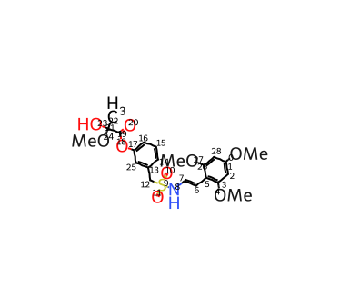 COc1cc(OC)c(C=CNS(=O)(=O)Cc2cccc(OC(=O)C(C)(O)OC)c2)c(OC)c1